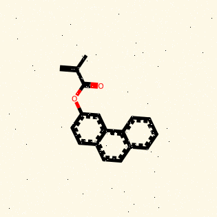 C=C(C)C(=O)Oc1ccc2ccc3ccccc3c2c1